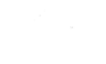 CC1(C)OB(C2=CCC3C(=C2)CNCC3c2ccc3ccccc3c2)OC1(C)C